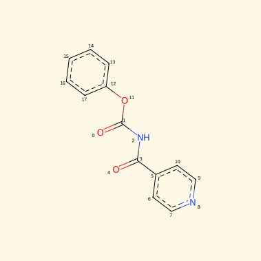 O=C(NC(=O)c1ccncc1)Oc1ccccc1